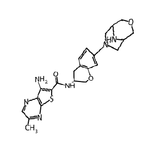 Cc1cnc2c(N)c(C(=O)N[C@H]3COc4cc(N5CC6COCC(C5)N6)ccc4C3)sc2n1